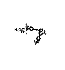 CN(C)CCNS(=O)(=O)c1ccc(C#Cc2cnn3c(C(F)F)cc(-c4ccc(C(F)(F)F)cc4)nc23)cc1